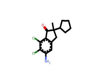 CC1(C2CCCC2)Cc2cc(N)c(Cl)c(Cl)c2C1=O